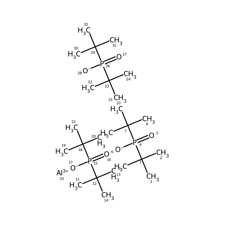 CC(C)(C)P(=O)([O-])C(C)(C)C.CC(C)(C)P(=O)([O-])C(C)(C)C.CC(C)(C)P(=O)([O-])C(C)(C)C.[Al+3]